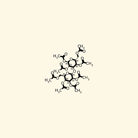 CC(=O)OC[C@H]1O[C@H](O[C@@H]2[C@H](OC(C)=O)[C@@H](OC(C)=O)O[C@H](COC(C)=O)[C@H]2OC(C)=O)[C@@H](OC(C)=O)[C@@H](OC(C)=O)[C@@H]1OC(C)=O